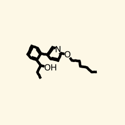 CCCCCCOc1ccc(-c2ccccc2C(O)CC)cn1